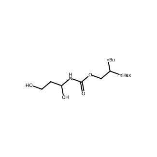 CCCCCCC(CCCC)COC(=O)NC(O)CCO